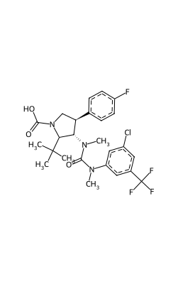 CN(C(=O)N(C)[C@@H]1C(C(C)(C)C)N(C(=O)O)C[C@H]1c1ccc(F)cc1)c1cc(Cl)cc(C(F)(F)F)c1